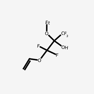 C=COC(F)(F)C(O)(OCC)C(F)(F)F